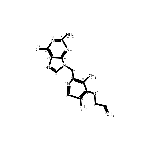 C=CCOc1c(C)cnc(Cn2cnc3c(Cl)nc(N)nc32)c1C